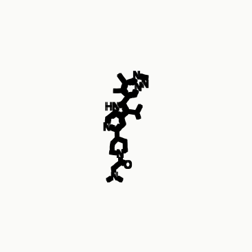 Cc1c(-c2[nH]c3cnc(C4CCN(C(=O)CN(C)C)CC4)cc3c2C(C)C)cn2ncnc2c1C